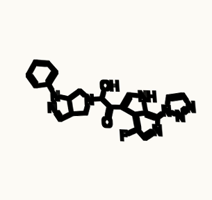 O=C(c1c[nH]c2c(-n3ccnn3)ncc(F)c12)C(O)N1CC2C=NN(c3ccccc3)C2C1